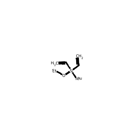 C=C[Si](C=C)(CCCC)OCC